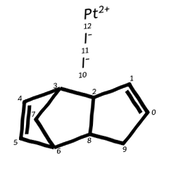 C1=CC2C3C=CC(C3)C2C1.[I-].[I-].[Pt+2]